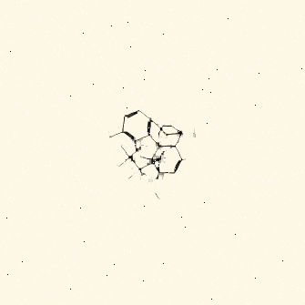 CO[C@]12C=C[C@@]3(C[C@@H]1[C@](C)(O)C(C)(C)C)[C@@H]1CCC[C@@]34c3c(ccc(C)c3O[C@@H]24)C1